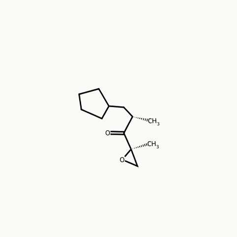 C[C@@H](CC1CCCC1)C(=O)[C@@]1(C)CO1